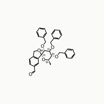 C[C@H]1O[C@]2(OCc3ccc(C=O)cc32)[C@H](OCc2ccccc2)[C@@H](OCc2ccccc2)[C@@H]1OCc1ccccc1